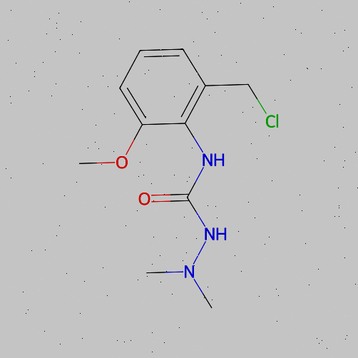 COc1cccc(CCl)c1NC(=O)NN(C)C